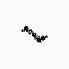 CCOc1ccccc1CN1CCCN(c2ccc(NC(=O)c3ccc(C)c(-c4ccc(C#N)cc4)c3)cn2)CC1